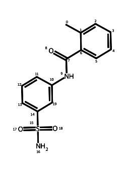 Cc1ccccc1C(=O)Nc1cccc(S(N)(=O)=O)c1